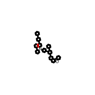 c1ccc(-c2ccc(-c3ccc(N(c4ccc(-c5cc(-c6ccc7ccc8oc9ccccc9c8c7c6)ccc5-c5ccccc5)cc4)c4ccccc4-c4ccccc4)cc3)cc2)cc1